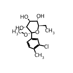 CC[C@H]1O[C@@](OC)(c2ccc(C)c(Cl)c2)[C@H](O)[C@@H](O)[C@@H]1O